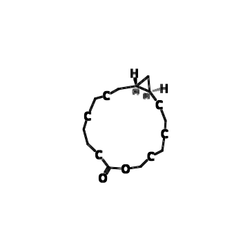 O=C1CCCCCCC[C@@H]2C[C@H]2CCCCCCO1